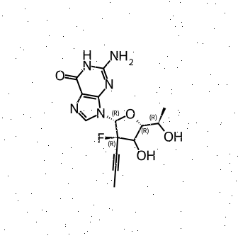 CC#C[C@@]1(F)C(O)[C@@H]([C@@H](C)O)O[C@H]1n1cnc2c(=O)[nH]c(N)nc21